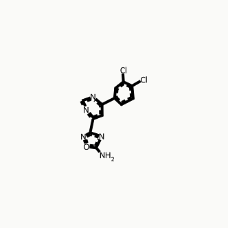 Nc1nc(-c2cc(-c3ccc(Cl)c(Cl)c3)ncn2)no1